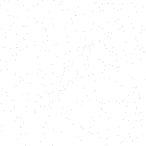 Fc1cc(OCC=C(Cl)Cl)cc(F)c1OCCCCl